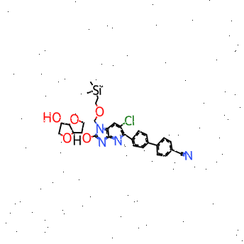 C[Si](C)(C)CCOCn1c(OC2COC3[C@@H]2OC[C@H]3O)nc2nc(-c3ccc(-c4ccc(C#N)cc4)cc3)c(Cl)cc21